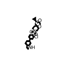 O=C1COC2(CCN(S(=O)(=O)c3ccc(-c4ccc5cc[nH]c5c4)cc3Cl)CC2)CN1C1CC1